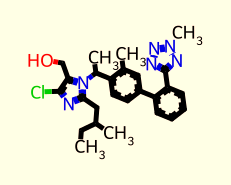 CCC(C)Cc1nc(Cl)c(CO)n1C(C)c1ccc(-c2ccccc2-c2nnn(C)n2)cc1C